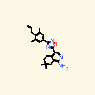 C=CCc1c(C)cc(-c2noc(-c3cnc(N)c4c3CCC(C)(C)C4)n2)cc1C